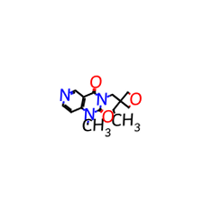 CCC1(Cn2c(=O)c3cnccc3n(C)c2=O)COC1